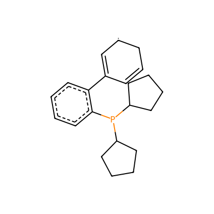 [CH]1C=C(c2ccccc2P(C2CCCC2)C2CCCC2)C=CC1